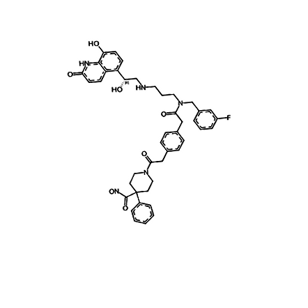 O=NC(=O)C1(c2ccccc2)CCN(C(=O)Cc2ccc(CC(=O)N(CCCNC[C@H](O)c3ccc(O)c4[nH]c(=O)ccc34)Cc3cccc(F)c3)cc2)CC1